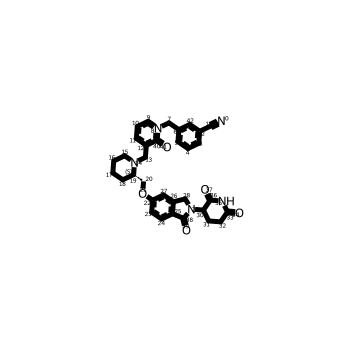 N#Cc1cccc(Cn2cccc(CN3CCCC[C@H]3COc3ccc4c(c3)CN(C3CCC(=O)NC3=O)C4=O)c2=O)c1